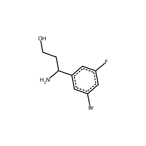 NC(CCO)c1cc(F)cc(Br)c1